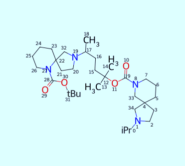 CC(C)N1CCC2(CCCN(C(=O)OC(C)(C)CCC(C)N3CCC4(CCCCN4C(=O)OC(C)(C)C)C3)C2)C1